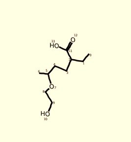 CCC(CCC(C)OCCO)C(=O)O